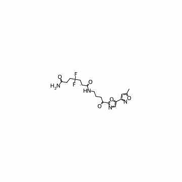 Cc1cc(-c2cnc(C(=O)CCCNC(=O)[CH]CC(F)(F)CCC(N)=O)o2)no1